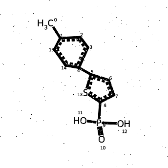 Cc1ccc(-c2ccc(P(=O)(O)O)s2)cc1